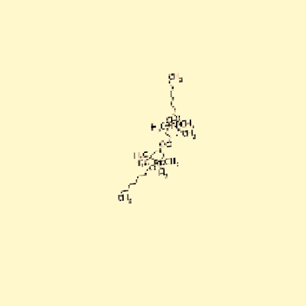 CCCCCCCCON1C(C)(C)CC(OOC2CC(C)(C)N(OCCCCCCCC)C(C)(C)C2)CC1(C)C